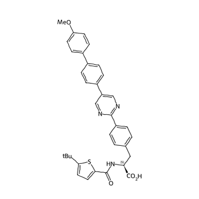 COc1ccc(-c2ccc(-c3cnc(-c4ccc(C[C@H](NC(=O)c5ccc(C(C)(C)C)s5)C(=O)O)cc4)nc3)cc2)cc1